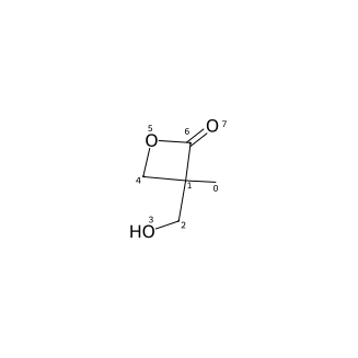 CC1(CO)COC1=O